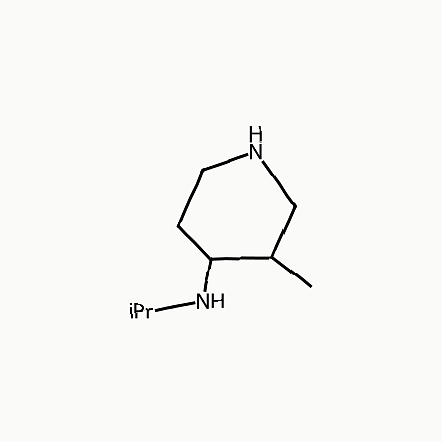 CC(C)NC1CCNCC1C